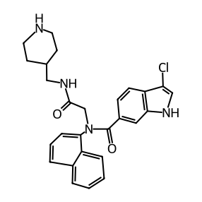 O=C(CN(C(=O)c1ccc2c(Cl)c[nH]c2c1)c1cccc2ccccc12)NCC1CCNCC1